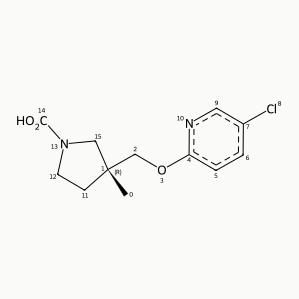 C[C@@]1(COc2ccc(Cl)cn2)CCN(C(=O)O)C1